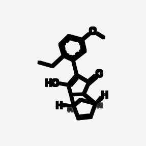 CCc1ccc(OC)cc1C1=C(O)C2C(C1=O)[C@@H]1C=C[C@H]2C1